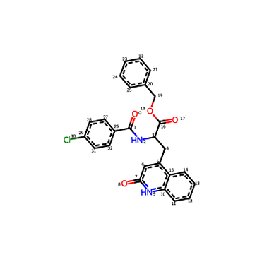 O=C(NC(Cc1cc(=O)[nH]c2ccccc12)C(=O)OCc1ccccc1)c1ccc(Cl)cc1